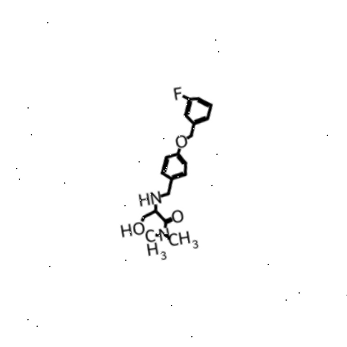 CN(C)C(=O)C(CO)NCc1ccc(OCc2cccc(F)c2)cc1